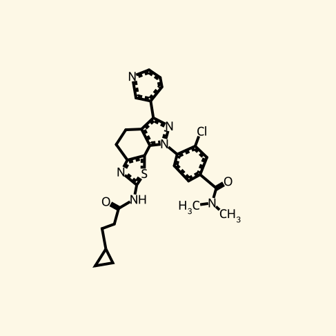 CN(C)C(=O)c1ccc(-n2nc(-c3cccnc3)c3c2-c2sc(NC(=O)CCC4CC4)nc2CC3)c(Cl)c1